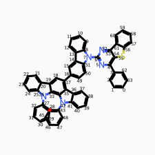 c1ccc(-c2nc(-n3c4ccccc4c4cc(-c5cc6c7ccccc7n(-c7ccccc7)c6c6c5c5ccccc5n6-c5ccccc5)ccc43)nc3c2sc2ccccc23)cc1